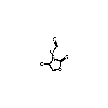 O=CON1C(=O)CSC1=S